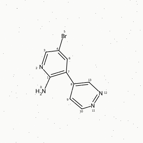 Nc1ncc(Br)cc1-c1ccnnc1